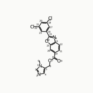 Cn1cncc1COC(=O)c1ccc2nc(-c3cc(Cl)cc(Cl)c3)oc2c1